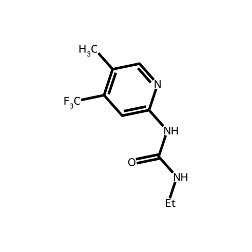 CCNC(=O)Nc1cc(C(F)(F)F)c(C)cn1